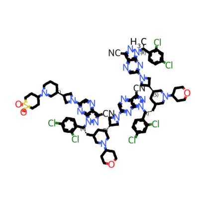 C[C@H](c1ccc(Cl)cc1Cl)n1nc(C#N)c2ncc(N3CC([C@@H]4CC(C[C@H](c5ccc(Cl)cc5Cl)n5nc(C#N)c6ncc(N7CC([C@H]8CC(C[C@H](c9ccc(Cl)cc9Cl)n9nc(C#N)c%10ncc(N%11CC([C@@H]%12CCCN(C%13CCS(=O)(=O)CC%13)C%12)C%11)nc%109)CN(C9CCOCC9)C8)C7)nc65)CN(C5CCOCC5)C4)C3)nc21